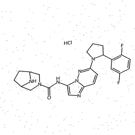 Cl.O=C(Nc1cnc2ccc(N3CCCC3c3cc(F)ccc3F)nn12)N1CC2CCC(C1)N2